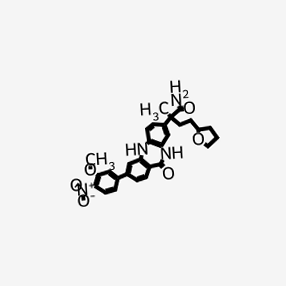 COc1cc(-c2ccc3c(c2)Nc2ccc(C(C)(CCC4CCCO4)C(N)=O)cc2NC3=O)ccc1[N+](=O)[O-]